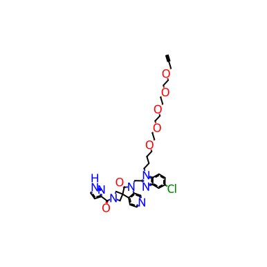 C#CCOCCOCCOCCOCCOCCCCn1c(CN2C(=O)C3(CN(C(=O)c4cc[nH]n4)C3)c3ccncc32)nc2cc(Cl)ccc21